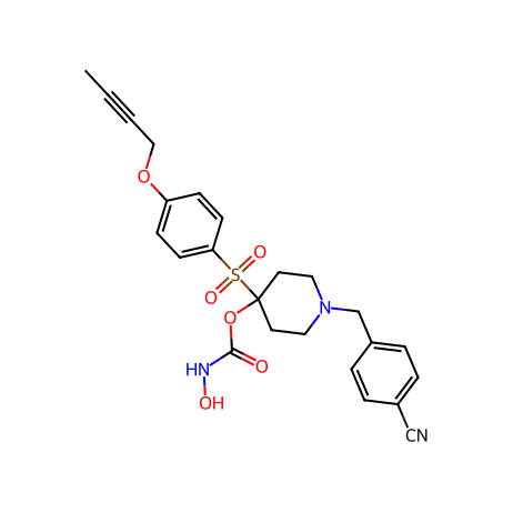 CC#CCOc1ccc(S(=O)(=O)C2(OC(=O)NO)CCN(Cc3ccc(C#N)cc3)CC2)cc1